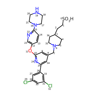 O=S(=O)(O)CCC1CCN(Cc2cc(Oc3ccc(N4CCNCC4)nc3)nc(-c3cc(Cl)cc(Cl)c3)c2)CC1